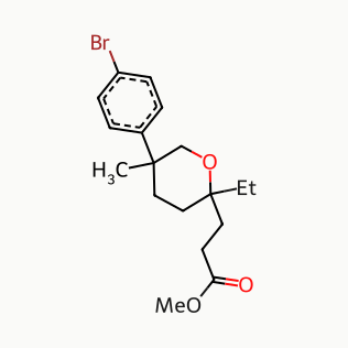 CCC1(CCC(=O)OC)CCC(C)(c2ccc(Br)cc2)CO1